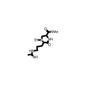 CCN1CC(C(=O)NC)NC(=O)C1CCCNC(C)=N